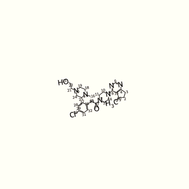 C[C@@H]1CCc2ncnc(N3CCN(C(=O)[C@@H](CN4CCN(CCO)CC4)c4ccc(Cl)cc4)CC3)c21